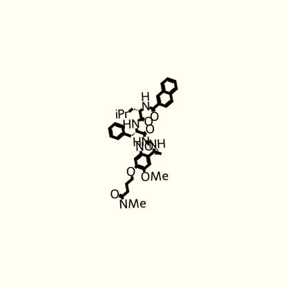 CNC(=O)CCCOc1cc([N+](=O)[O-])c(C(C)NNC(=O)[C@H](Cc2ccccc2)NC(=O)[C@H](CC(C)C)NC(=O)c2ccc3ccccc3c2)cc1OC